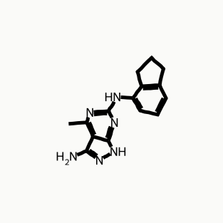 Cc1nc(Nc2cccc3c2CCC3)nc2[nH]nc(N)c12